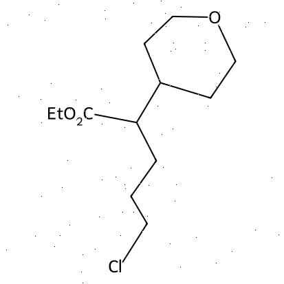 CCOC(=O)C(CCCCl)C1CCOCC1